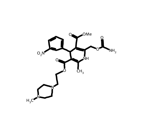 COC(=O)C1=C(COC(N)=O)NC(C)=C(C(=O)OCCN2CCN(C)CC2)C1c1cccc([N+](=O)[O-])c1